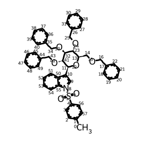 Cc1ccc(S(=O)(=O)n2cc([C@@H]3O[C@H](COCc4ccccc4)[C@@H](OCc4ccccc4)[C@H](OCc4ccccc4)[C@H]3OCc3ccccc3)c3ccccc32)cc1